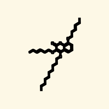 CCC=CCCOc1c(OCCCCCCCCCC)c2cccc(OCCC=CCC)c2oc1=O